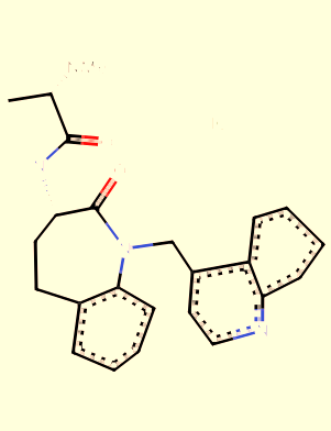 CN[C@@H](C)C(=O)N[C@H]1CCc2ccccc2N(Cc2ccnc3ccccc23)C1=O.Cl